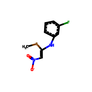 CS/C(=C\[N+](=O)[O-])Nc1cccc(F)c1